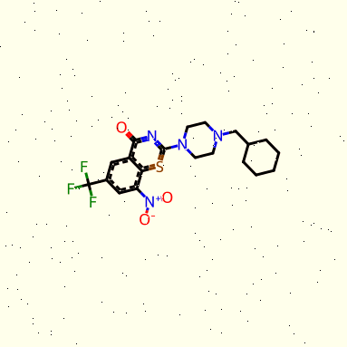 O=c1nc(N2CCN(CC3CCCCC3)CC2)sc2c([N+](=O)[O-])cc(C(F)(F)F)cc12